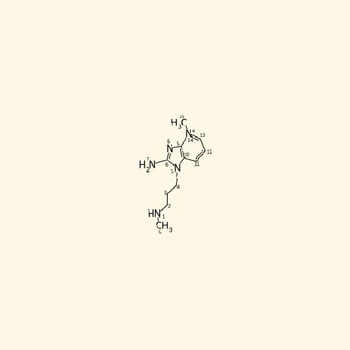 CNCCCn1c(N)nc2c1ccc[n+]2C